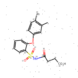 Cc1cc(Oc2ccccc2S(=O)(=O)NC(=O)CCC(=O)O)ccc1C(C)C